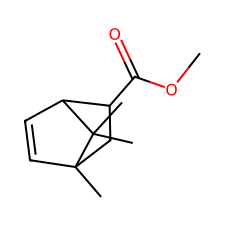 COC(=O)C1CC2(C)C=CC1C2(C)C